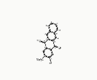 CSc1cc2c(cc1F)C(=O)c1cc3ccccc3cc1C2=O